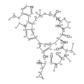 CCn1c(-c2cnccc2COC)c2c3cc(ccc31)-c1cc(O)cc(c1)C[C@H](NC(=O)C(C(C)C)N(C)C(=O)CN(C)C(=O)[C@H]1NC1C1CC1)C(=O)N1CCC[C@H](N1)C(=O)OCC(C)(C)C2